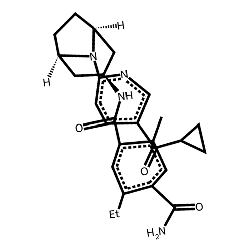 CCc1cc(C(=O)N[C@H]2C[C@H]3CC[C@@H](C2)N3c2ccc(C(=O)C3CC3)cn2)c(C)cc1C(N)=O